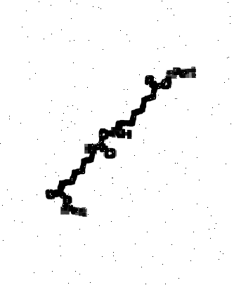 CCCCCOC(=O)CCCCCCNOC(=O)NCCCCCCC(=O)OCCCCC